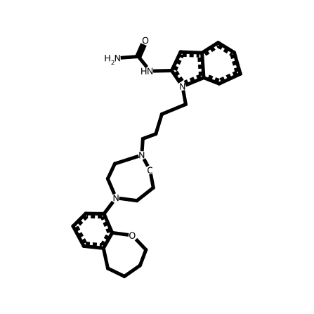 NC(=O)Nc1cc2ccccc2n1CCCCN1CCCN(c2cccc3c2OCCCC3)CC1